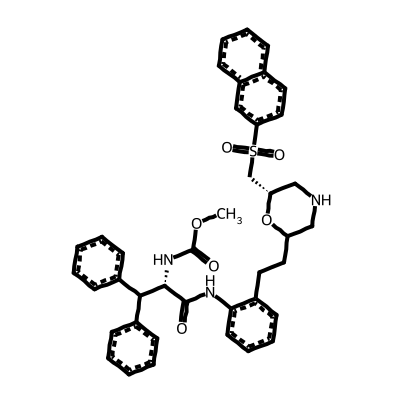 COC(=O)N[C@H](C(=O)Nc1ccccc1CCC1CNC[C@@H](CS(=O)(=O)c2ccc3ccccc3c2)O1)C(c1ccccc1)c1ccccc1